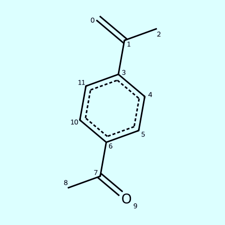 C=C(C)c1ccc(C(C)=O)cc1